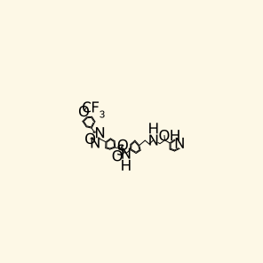 O=S(=O)(Nc1ccc(CCNCC(O)c2cccnc2)cc1)c1ccc(-c2noc(-c3ccc(OC(F)(F)F)cc3)n2)cc1